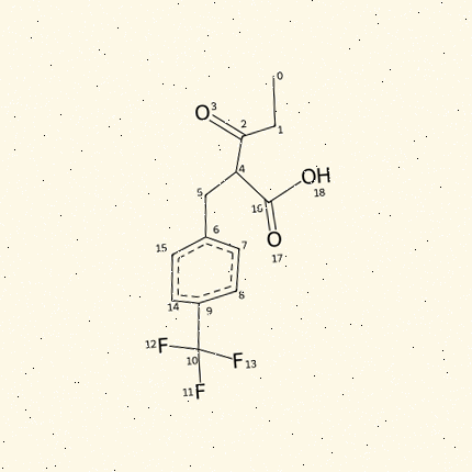 CCC(=O)C(Cc1ccc(C(F)(F)F)cc1)C(=O)O